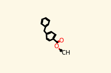 C#COC(=O)c1ccc(Cc2ccccc2)cc1